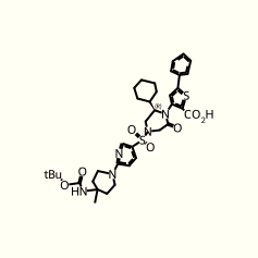 CC1(NC(=O)OC(C)(C)C)CCN(c2ccc(S(=O)(=O)N3CC(=O)N(c4cc(-c5ccccc5)sc4C(=O)O)[C@H](C4CCCCC4)C3)cn2)CC1